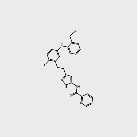 CC(C)Cc1ccccc1Nc1ccc(F)c(CCc2cc(NC(=O)c3ncccn3)[nH]n2)c1